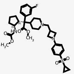 COC(=O)N[C@H]1CCC[C@@H]1C(C(=O)OC)(c1cccc(F)c1)C1CCN(CC2CN(c3ccc(S(=O)(=O)C4CC4)cc3)C2)CC1